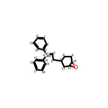 c1ccc([SiH](CCC2CCC3OC3C2)c2ccccc2)cc1